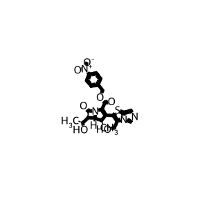 C[C@@H](O)[C@H]1C(=O)N2C(C(=O)OCc3ccc([N+](=O)[O-])cc3)=C(c3sc4cncn4c3CO)[C@H](C)[C@H]12